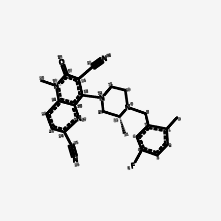 Cc1ccc(F)cc1CN1CCN(c2c(C#N)c(=O)n(C)c3ccc(C#N)nc23)C[C@H]1C